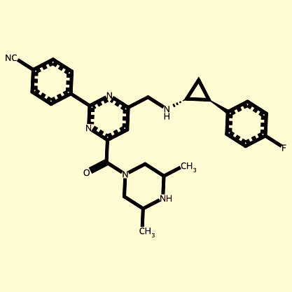 CC1CN(C(=O)c2cc(CN[C@@H]3C[C@H]3c3ccc(F)cc3)nc(-c3ccc(C#N)cc3)n2)CC(C)N1